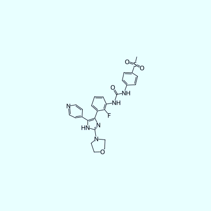 CS(=O)(=O)c1ccc(NC(=O)Nc2cccc(-c3nc(N4CCOCC4)[nH]c3-c3ccncc3)c2F)cc1